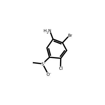 C[S+]([O-])c1cc(N)c(Br)cc1Cl